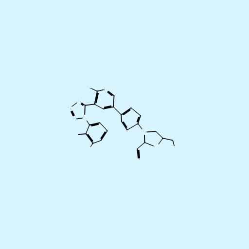 Nc1ncc(-c2ccc(N3CC(CO)OC3C=O)cc2)cc1-c1nnnn1-c1cccc(F)c1F